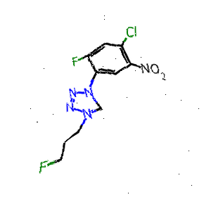 O=[N+]([O-])c1cc(N2CN(CCCF)N=N2)c(F)cc1Cl